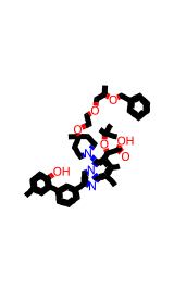 Cc1ccc(O)c(-c2cccc(-c3cn4c(N5CCC(C)(OCCOCC(C)OCc6ccccc6)CC5)c(C(OC(C)(C)C)C(=O)O)c(C)c(C)c4n3)c2)c1